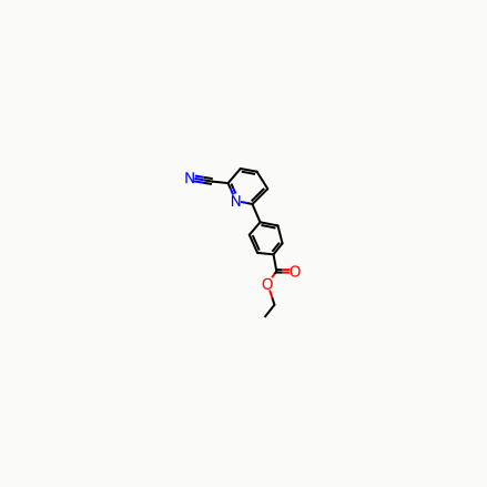 CCOC(=O)c1ccc(-c2cccc(C#N)n2)cc1